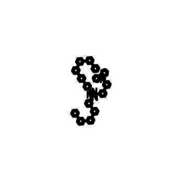 c1ccc(-c2cccc(-c3cccc(-c4cccc(-c5ccc(-c6ccc(-c7nc(-c8cccc(-c9cccc(-c%10cccc(-c%11cccc(-c%12ccccc%12)c%11)c%10)c9)c8)nc(-c8cccc(-c9cccc(-n%10c%11ccccc%11c%11ccccc%11%10)c9)c8)n7)cc6)cc5)c4)c3)c2)cc1